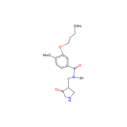 COCCCOc1cc(C(=O)N(CC2CNCC2=O)C(C)C)ccc1OC